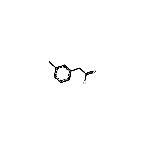 O=C(Cl)Cc1cccc(I)c1